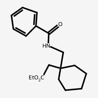 CCOC(=O)CC1(CNC(=O)c2ccccc2)CCCCC1